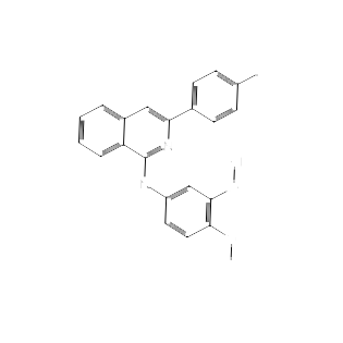 COc1ccc(Nc2nc(-c3ccc(F)cc3)cc3ccccc23)cc1OC